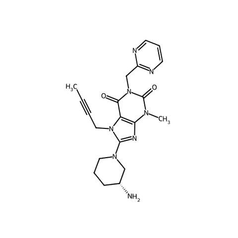 CC#CCn1c(N2CCC[C@@H](N)C2)nc2c1c(=O)n(Cc1ncccn1)c(=O)n2C